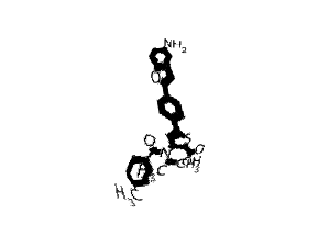 CC(C)N(C(=O)[C@H]1CC[C@H](C)CC1)C1C=C(c2ccc(-c3cc4cc(N)ccc4o3)cc2)SC1C(=O)O